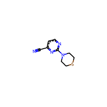 N#Cc1ccnc(N2CCSCC2)n1